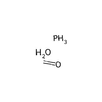 C=O.O.P